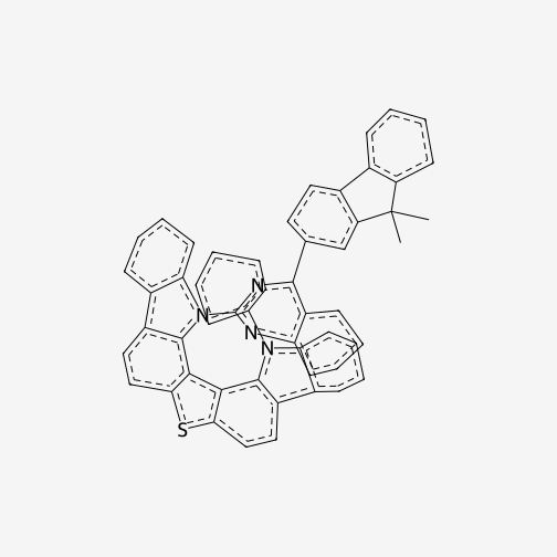 CC1(C)c2ccccc2-c2ccc(-c3nc(-n4c5ccccc5c5ccc6sc7ccc8c9ccccc9n(-c9ccccc9)c8c7c6c54)nc4ccccc34)cc21